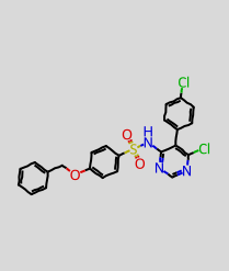 O=S(=O)(Nc1ncnc(Cl)c1-c1ccc(Cl)cc1)c1ccc(OCc2ccccc2)cc1